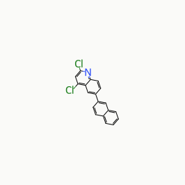 Clc1cc(Cl)c2cc(-c3ccc4ccccc4c3)ccc2n1